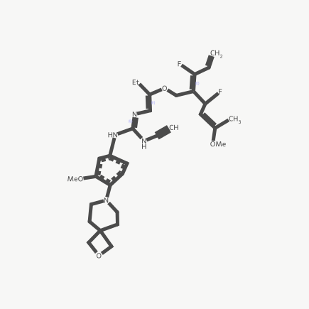 C#CN/C(=N\C=C(/CC)OC/C(=C(\F)C=C)C(F)C=C(C)OC)Nc1ccc(N2CCC3(CC2)COC3)c(OC)c1